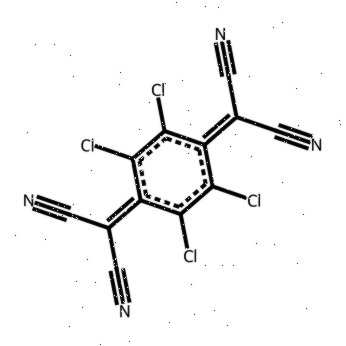 N#CC(C#N)=c1c(Cl)c(Cl)c(=C(C#N)C#N)c(Cl)c1Cl